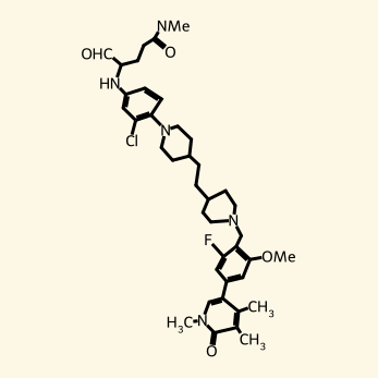 CNC(=O)CCC(C=O)Nc1ccc(N2CCC(CCC3CCN(Cc4c(F)cc(-c5cn(C)c(=O)c(C)c5C)cc4OC)CC3)CC2)c(Cl)c1